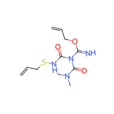 C=CCOC(=N)N(C(=O)NSCC=C)C(=O)N(C)C